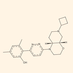 Cc1cc(C)c(-c2ccc(N3CCO[C@H]4CN(C5CCC5)CC[C@H]43)nn2)c(O)c1